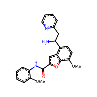 COc1ccccc1NC(=O)c1cc2c(C(N)Cc3ccccn3)ccc(OC)c2o1